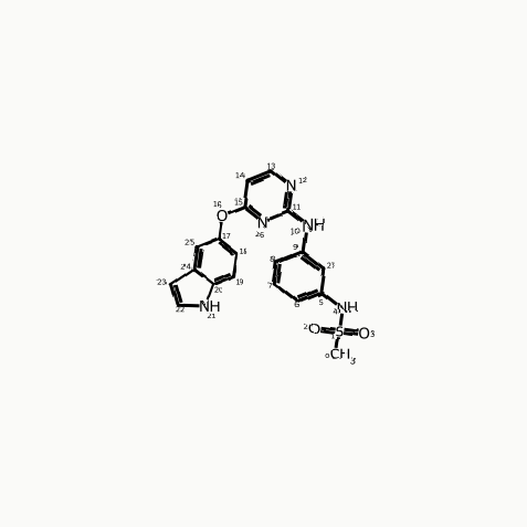 CS(=O)(=O)Nc1cccc(Nc2nccc(Oc3ccc4[nH]ccc4c3)n2)c1